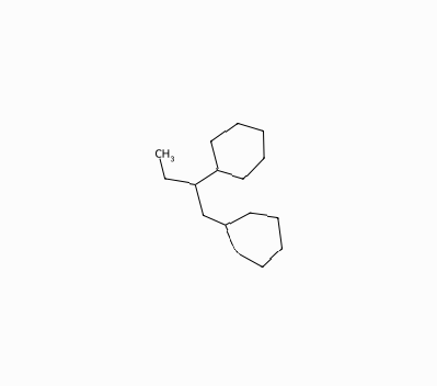 CCC(CC1CCCCC1)C1CCCCC1